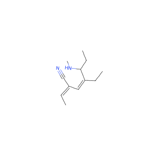 C/C=C(C#N)\C=C(\CC)C(CC)NC